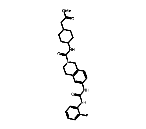 COC(=O)CC1CCC(NC(=O)N2CCc3cc(NC(=O)Nc4ccccc4F)ccc3C2)CC1